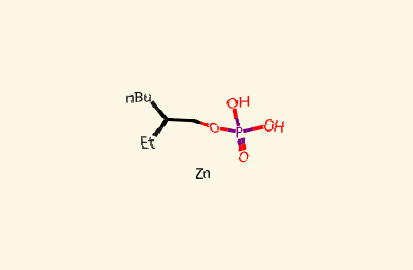 CCCCC(CC)COP(=O)(O)O.[Zn]